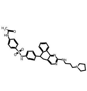 CC(=O)Nc1ccc(S(=O)(=O)Nc2ccc(C3Cc4cnc(NCCCN5CCCC5)nc4-c4ccccc43)cc2)cc1